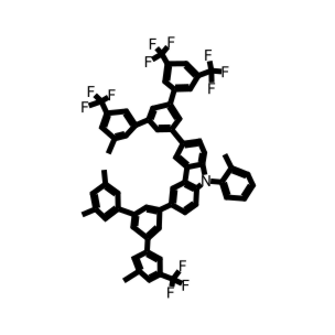 Cc1cc(C)cc(-c2cc(-c3cc(C)cc(C(F)(F)F)c3)cc(-c3ccc4c(c3)c3cc(-c5cc(-c6cc(C)cc(C(F)(F)F)c6)cc(-c6cc(C(F)(F)F)cc(C(F)(F)F)c6)c5)ccc3n4-c3ccccc3C)c2)c1